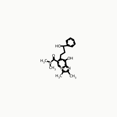 Cc1nc2c(O)c(CCC(O)c3ccccc3)c(C(=O)N(C)C)cn2c1C